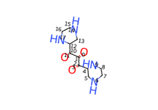 O=C(C(=O)C1CNCCN1)C(=O)C1CNCCN1